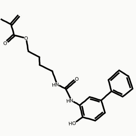 C=C(C)C(=O)OCCCCNC(=O)Nc1cc(-c2ccccc2)ccc1O